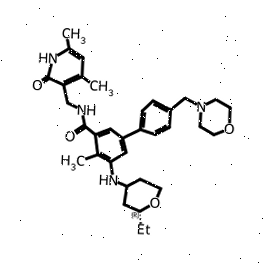 CC[C@@H]1CC(Nc2cc(-c3ccc(CN4CCOCC4)cc3)cc(C(=O)NCc3c(C)cc(C)[nH]c3=O)c2C)CCO1